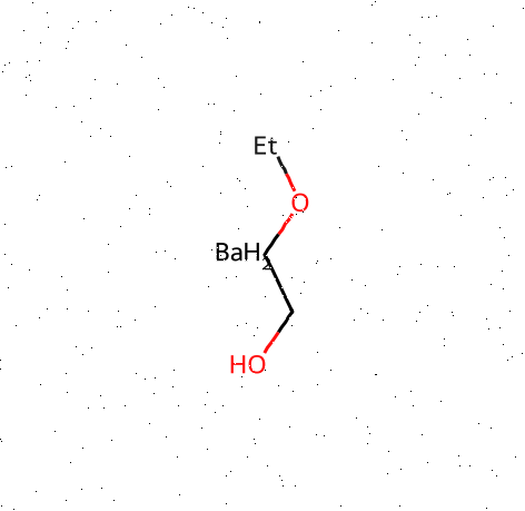 CCOCCO.[BaH2]